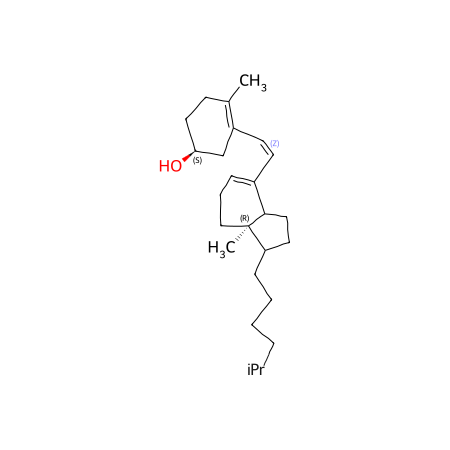 CC1=C(/C=C\C2=CCC[C@]3(C)C(CCCCC(C)C)CCC23)C[C@@H](O)CC1